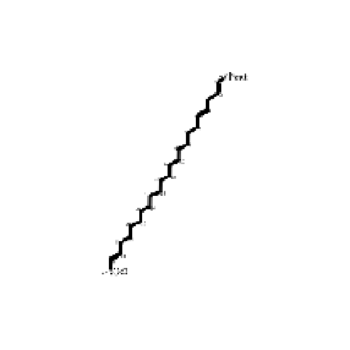 CCCCCC=CC/C=C/CCCCCCC[CH]CCCCCCCCC=CCCCCCCCC